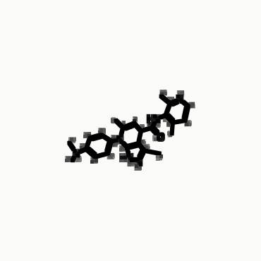 CC1=CC(C(=O)Nc2c(C)ccnc2C)c2c(C)n[nH]c2N1c1ccc(N(C)C)cc1